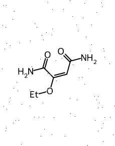 CCO/C(=C/C(N)=O)C(N)=O